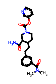 CN(C)C(=O)c1cccc(CCC2CCN(C(=O)Oc3cccnc3)CC2C(N)=O)c1